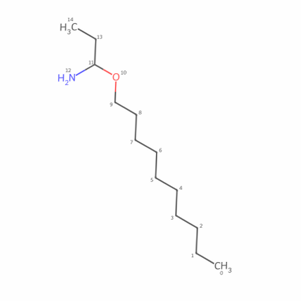 CCCCCCCCCCOC(N)CC